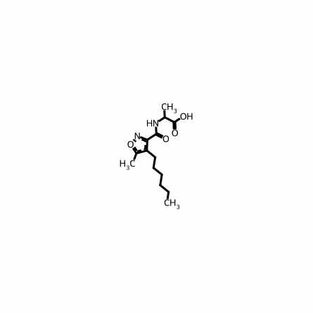 CCCCCCc1c(C(=O)NC(C)C(=O)O)noc1C